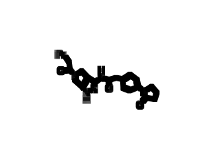 CC(C)CC(=O)N1Cc2[nH]nc(NC(=O)Cc3ccc(N4CCCC4=O)cc3)c2C1